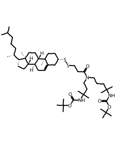 CC(C)CCC[C@@H](C)[C@H]1CC[C@H]2[C@@H]3CC=C4C[C@@H](SSCCC(=O)N(CCCC(C)(C)NC(=O)OC(C)(C)C)CCC(C)(C)NC(=O)OC(C)(C)C)CC[C@]4(C)[C@H]3CC[C@]12C